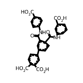 O=C(O)c1ccc(NC(=O)c2cc(-c3ccc(C(=O)O)c(C(=O)O)c3)ccc2C(=O)Nc2cccc(C(=O)O)c2)cc1